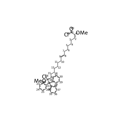 COC(CCCCCCC=CCCCCCCCC(Cl)(OC)C(c1ccccc1)(c1ccccc1)c1ccccc1)C(=O)Cl